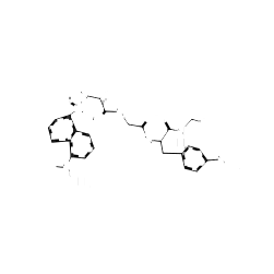 C[C@@H](NS(=O)(=O)c1cccc2c(N(C)C)cccc12)C(=O)NCC(=O)NC(Cc1ccc([N+](=O)[O-])cc1)C(=O)NCC(=O)O